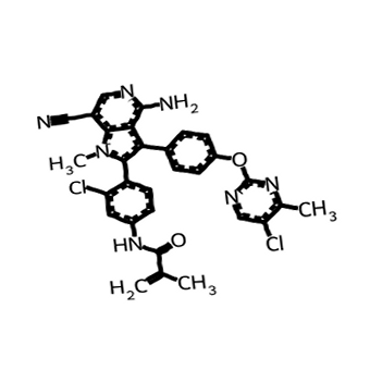 C=C(C)C(=O)Nc1ccc(-c2c(-c3ccc(Oc4ncc(Cl)c(C)n4)cc3)c3c(N)ncc(C#N)c3n2C)c(Cl)c1